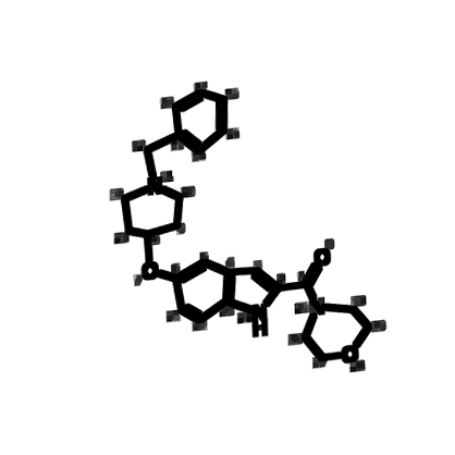 O=C(c1cc2cc(OC3CCN(Cc4ccccc4)CC3)ccc2[nH]1)N1CCOCC1